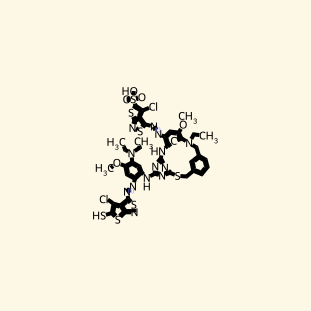 CCN(CC)c1cc(Nc2nc3nc(n2)SCc2cccc(c2)CN(CC)c2cc(c(/N=N/c4snc5sc(S(=O)(=O)O)c(Cl)c45)cc2OC)N3)c(/N=N/c2snc3sc(S)c(Cl)c23)cc1OC